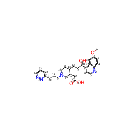 COc1ccc2nccc(C(O)CC[C@@H]3CCN(CCCc4cccnn4)C[C@@H]3CC(=O)O)c2c1